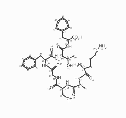 C[C@H](NC(=O)[C@@H](N)CCCCN)C(=O)N[C@@H](CO)C(=O)NCC(=O)N[C@@H](Cc1ccccc1)C(=O)N[C@H](C(=O)N[C@@H](Cc1ccccc1)C(=O)O)[C@@H](C)O